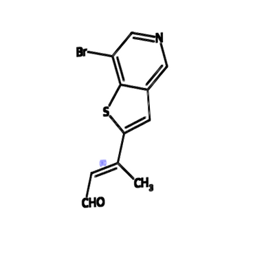 C/C(=C\C=O)c1cc2cncc(Br)c2s1